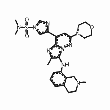 Cc1nc2c(-c3cn(S(=O)(=O)N(C)C)cn3)cc(N3CCOCC3)nn2c1Nc1cccc2c1CN(C)CC2